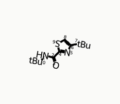 CC(C)(C)NC(=O)c1nc(C(C)(C)C)cs1